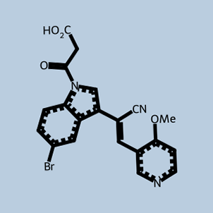 COc1ccncc1C=C(C#N)c1cn(C(=O)CC(=O)O)c2ccc(Br)cc12